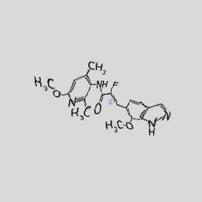 COc1cc(C)c(NC(=O)/C(F)=C/c2ccc3cn[nH]c3c2OC)c(C)n1